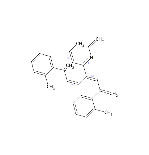 C=C/N=C(\C=C/C)C(/C=C\C(=C)c1ccccc1C)=C/C(=C)c1ccccc1C